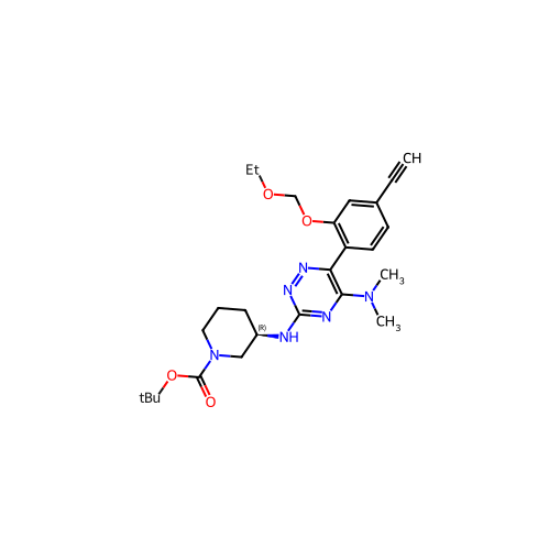 C#Cc1ccc(-c2nnc(N[C@@H]3CCCN(C(=O)OC(C)(C)C)C3)nc2N(C)C)c(OCOCC)c1